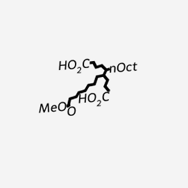 CCCCCCCCC(CCCC(=O)O)C(CCCCCCCC(=O)OC)CCCC(=O)O